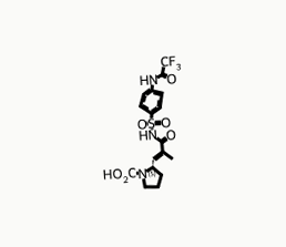 CC(=C[C@@H]1CCCN1C(=O)O)C(=O)NS(=O)(=O)c1ccc(NC(=O)C(F)(F)F)cc1